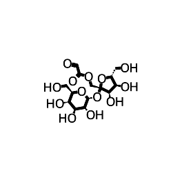 O=CC(=O)OC[C@@]1(O[C@H]2O[C@H](CO)[C@@H](O)[C@H](O)[C@H]2O)O[C@H](CO)[C@@H](O)[C@@H]1O